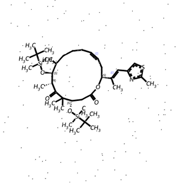 C/C(=C\c1csc(C)n1)[C@@H]1C/C=C\CCCC(C)[C@H](O[Si](C)(C)C(C)(C)C)[C@@H](C)C(=O)C(C)(C)[C@@H](O[Si](C)(C)C(C)(C)C)CC(=O)O1